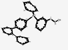 OBOc1cccc(N(c2ccccc2)c2ccc(-c3ccccc3-c3ccccc3)cc2)c1